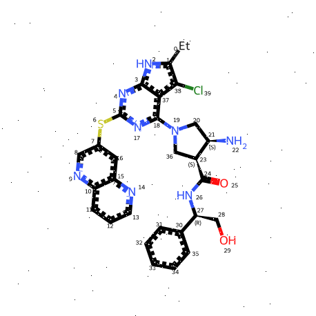 CCc1[nH]c2nc(Sc3cnc4cccnc4c3)nc(N3C[C@@H](N)[C@@H](C(=O)N[C@@H](CO)c4ccccc4)C3)c2c1Cl